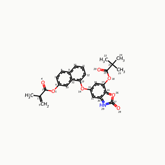 C=C(C)C(=O)Oc1ccc2cccc(Oc3cc(OC(=O)C(C)(C)C)c4oc(=O)[nH]c4c3)c2c1